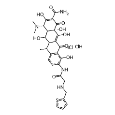 CC1c2ccc(NC(=O)CNCc3cccs3)c(O)c2C(=O)C2=C(O)[C@]3(O)C(=O)C(C(N)=O)=C(O)[C@@H](N(C)C)C3C(O)C21.Cl.Cl